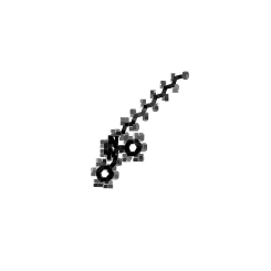 CCCCCCCCCCCCCCN1C=CN(Cc2ccccc2)C1c1ccccc1